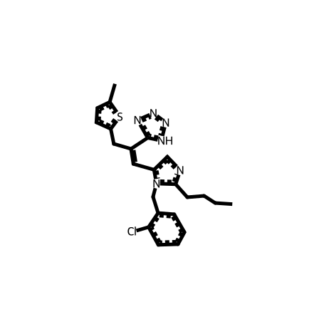 CCCCc1ncc(/C=C(/Cc2ccc(C)s2)c2nnn[nH]2)n1Cc1ccccc1Cl